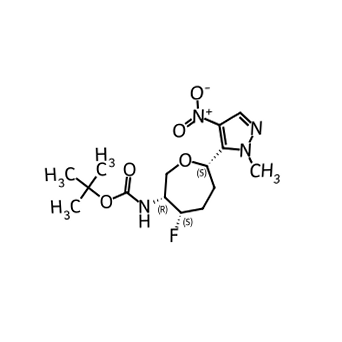 Cn1ncc([N+](=O)[O-])c1[C@@H]1CC[C@H](F)[C@H](NC(=O)OC(C)(C)C)CO1